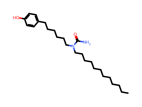 CCCCCCCCCCCCN(CCCCCCc1ccc(O)cc1)C(N)=O